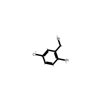 CC(C)c1c[c]c(Cl)cc1CBr